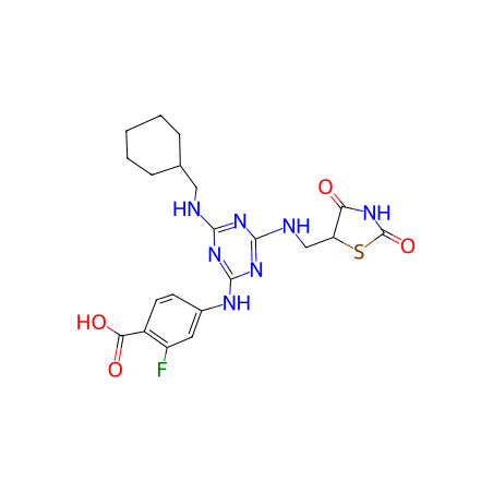 O=C1NC(=O)C(CNc2nc(NCC3CCCCC3)nc(Nc3ccc(C(=O)O)c(F)c3)n2)S1